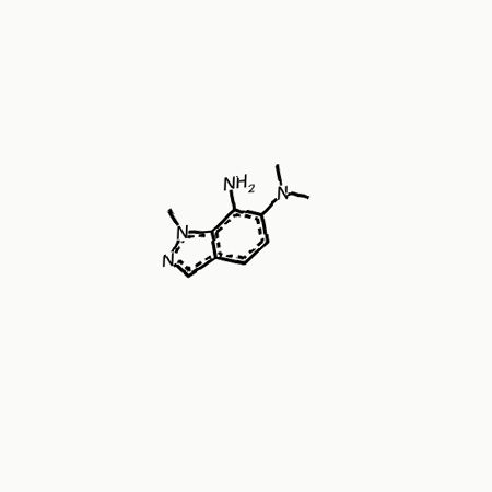 CN(C)c1ccc2cnn(C)c2c1N